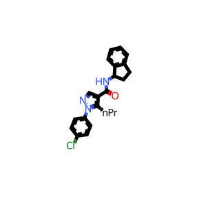 CCCc1c(C(=O)NC2CCc3ccccc32)cnn1-c1ccc(Cl)cc1